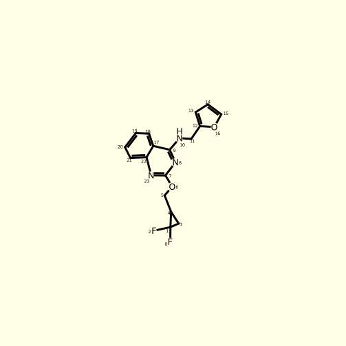 FC1(F)CC1COc1nc(NCc2ccco2)c2ccccc2n1